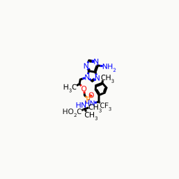 Cc1ccc(C(NP(=O)(COC(C)Cn2cnc3c(N)ncnc32)NC(C)(C)C(=O)O)C(F)(F)F)cc1